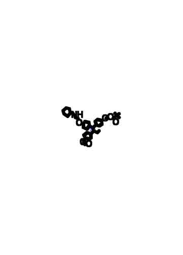 CC/C(=C(/c1ccc(OCCNC2CCCCC2)cc1)c1ccc(OCOC(=O)C(C)(C)C)cc1)c1ccc2c(c1)OCO2